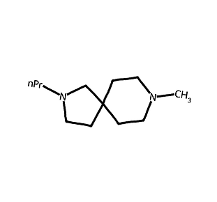 CCCN1CCC2(CCN(C)CC2)C1